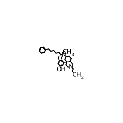 C=CCN1CCC2(c3cccc(O)c3)CC(N(C)C(=O)CCCCCc3ccccc3)CCC2C1